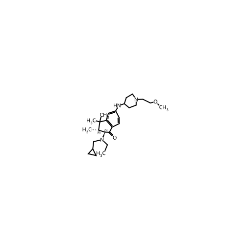 CCN(CC1CC1)[C@@H]1C(=O)c2ccc(NC3CCN(CCOC)CC3)cc2C(C)(C)[C@H]1C